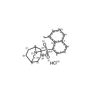 Cc1cncc2cccc(S(=O)(=O)N3CC4CCC3CNC4)c12.Cl